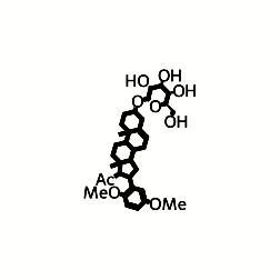 COc1ccc(OC)c(C2CC3C4CC=C5CC(OC6O[C@H](CO)[C@H](O)[C@H](O)[C@H]6O)CCC5(C)C4CCC3(C)C2C(C)=O)c1